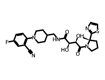 C[C@@]1(c2nccs2)CCCN1C(=O)[C@H](O)[C@@H](O)C(=O)NCC1CCN(c2ccc(F)cc2C#N)CC1